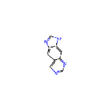 c1ncc2cc3nc[nH]c3cc2n1